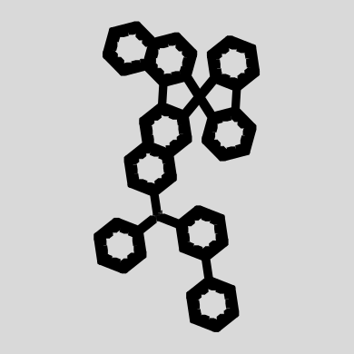 c1ccc(-c2cccc(N(c3ccccc3)c3ccc4cc5c(cc4c3)C3(c4ccccc4-c4ccccc43)c3ccc4ccccc4c3-5)c2)cc1